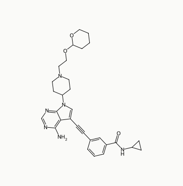 Nc1ncnc2c1c(C#Cc1cccc(C(=O)NC3CC3)c1)cn2C1CCN(CCOC2CCCCO2)CC1